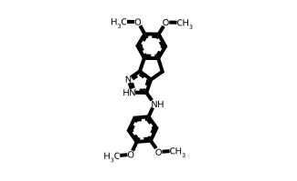 COc1ccc(Nc2[nH]nc3c2Cc2cc(OC)c(OC)cc2-3)cc1OC